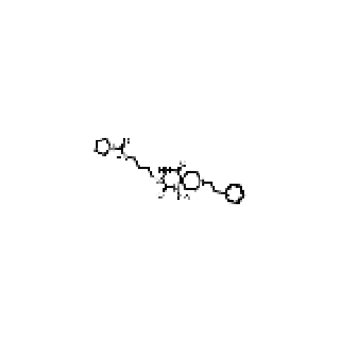 CCCN1C(=O)[C@H](CCCCNC(=O)N2CCCC2)NC(=O)C12CCN(CCc1ccccc1)CC2